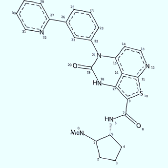 CNC1CCC[C@H]1NC(=O)c1sc2nccc3c2c1NC(=O)N3c1cccc(-c2ccccn2)c1